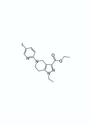 CCOC(=O)c1nn(CC)c2c1CN(c1ccc(I)cn1)CC2